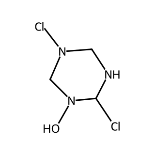 ON1CN(Cl)CNC1Cl